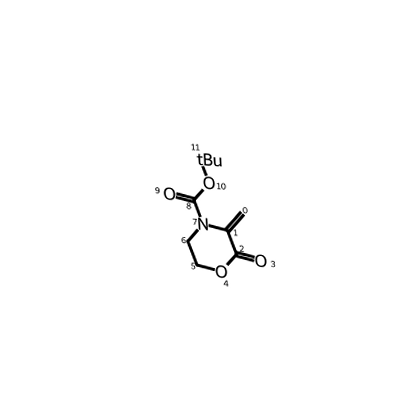 C=C1C(=O)OCCN1C(=O)OC(C)(C)C